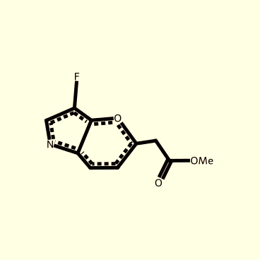 COC(=O)Cc1ccc2ncc(F)c-2o1